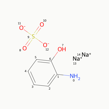 Nc1ccccc1O.O=S(=O)([O-])[O-].[Na+].[Na+]